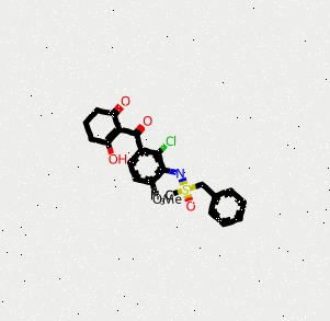 COc1ccc(C(=O)C2=C(O)CCCC2=O)c(Cl)c1N=S(C)(=O)Cc1ccccc1